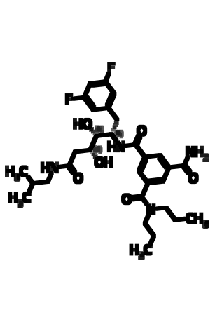 CCCN(CCC)C(=O)c1cc(C(N)=O)cc(C(=O)N[C@@H](Cc2cc(F)cc(F)c2)[C@@H](O)[C@H](O)CC(=O)NCC(C)C)c1